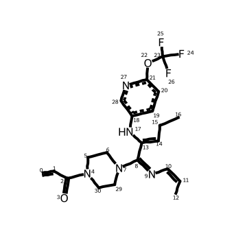 C=CC(=O)N1CCN(C(=N/C=C\C)/C(=C/CC)Nc2ccc(OC(F)(F)F)nc2)CC1